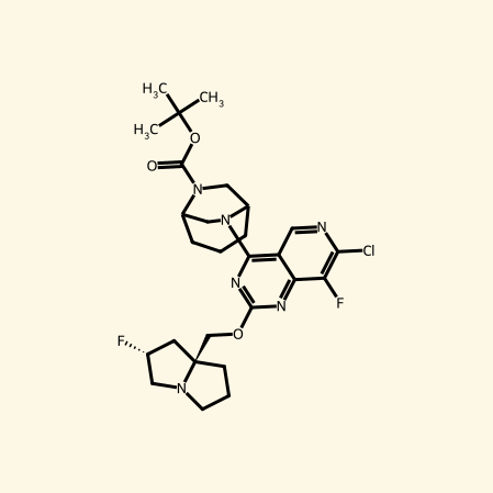 CC(C)(C)OC(=O)N1CC2CCCC1CN2c1nc(OC[C@@]23CCCN2C[C@H](F)C3)nc2c(F)c(Cl)ncc12